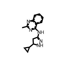 Cc1nc(NC2=NNC(C3CC3)C2)c2ccccc2n1